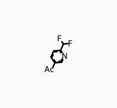 CC(=O)c1ccc(C(F)F)nc1